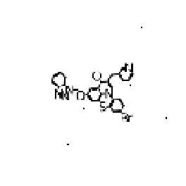 O=c1c(Cc2cccnc2)cn2c3c(cc(OCn4nnc5ccccc54)cc13)Sc1cc(Br)ccc1-2